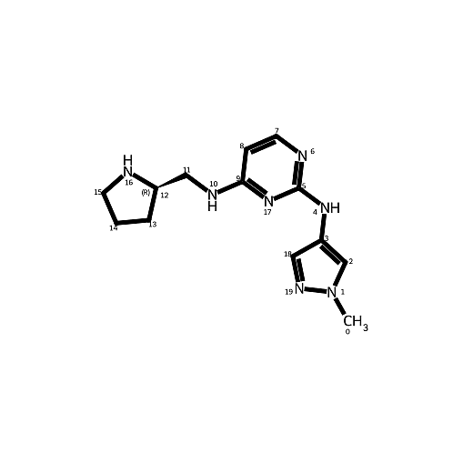 Cn1cc(Nc2nccc(NC[C@H]3CCCN3)n2)cn1